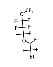 CCC(F)(F)C(F)OC(F)(F)C(F)(F)C(F)(F)OC(F)(F)F